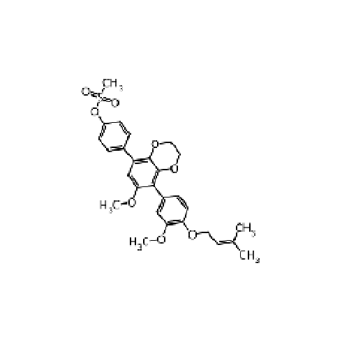 COc1cc(-c2c(OC)cc(-c3ccc(OS(C)(=O)=O)cc3)c3c2OCCO3)ccc1OCC=C(C)C